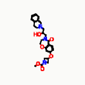 COC(=O)N1CC(Oc2ccc3c(c2)OCCN(CC(O)CN2CCc4ccccc4C2)C3=O)C1